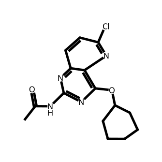 CC(=O)Nc1nc(OC2CCCCC2)c2nc(Cl)ccc2n1